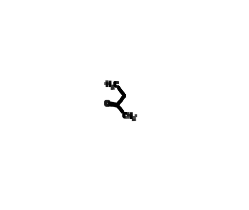 [CH2]CC([CH2])=O